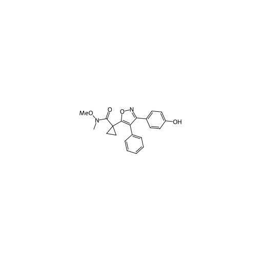 CON(C)C(=O)C1(c2onc(-c3ccc(O)cc3)c2-c2ccccc2)CC1